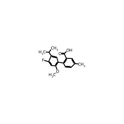 COc1cc(F)c(C(C)C)cc1-c1ccc(C)cc1C(=O)O